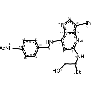 CC[C@@H](CO)Nc1cc(NCc2ccc(NC(C)=O)cc2)n2ncc(C(C)C)c2n1